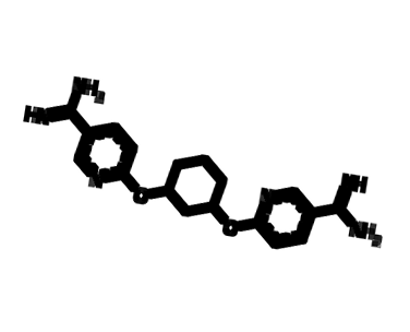 N=C(N)c1ccc(OC2CCCC(Oc3ccc(C(=N)N)cn3)C2)nc1